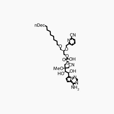 CCCCCCCCCCCCCCCCCCOC[C@H](COP(=O)(O)OC[C@@](CC#N)(OC)[C@@H](O)[C@@H](O)c1ccc2c(N)ncnn12)OCc1cccc(C#N)n1